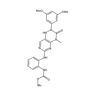 COc1cc(OC)cc(N2Nc3cnc(Nc4ccccc4NC(=O)OC(C)(C)C)nc3N(C)C2=O)c1